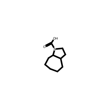 O=C(O)N1CCC2CCCCCC21